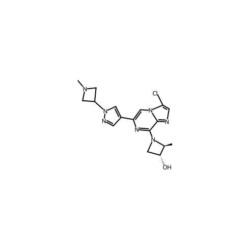 C[C@H]1[C@H](O)CN1c1nc(-c2cnn(C3CN(C)C3)c2)cn2c(Cl)cnc12